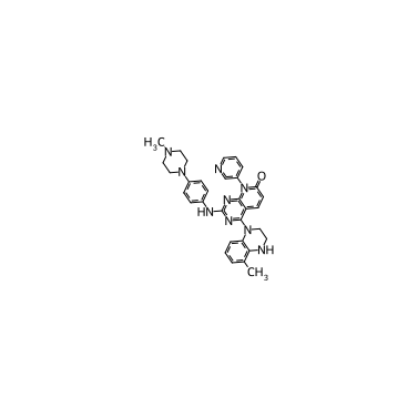 Cc1cccc2c1NCCN2c1nc(Nc2ccc(N3CCN(C)CC3)cc2)nc2c1ccc(=O)n2-c1cccnc1